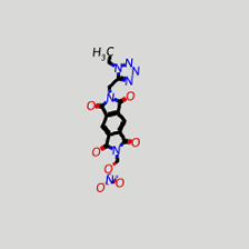 CCn1nnnc1Cn1c(=O)c2cc3c(=O)n(CO[N+](=O)[O-])c(=O)c3cc2c1=O